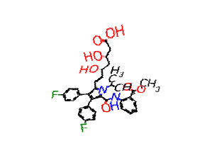 COC(=O)c1ccccc1NC(=O)c1c(-c2ccc(F)cc2)c(-c2ccc(F)cc2)c(C=C[C@H](O)C[C@H](O)CC(=O)O)n1C(C)C